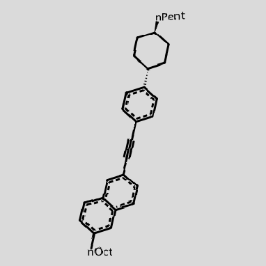 CCCCCCCCc1ccc2cc(C#Cc3ccc([C@H]4CC[C@H](CCCCC)CC4)cc3)ccc2c1